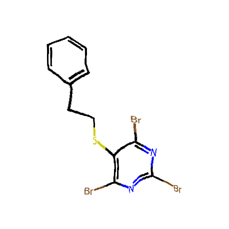 Brc1nc(Br)c(SCCc2ccccc2)c(Br)n1